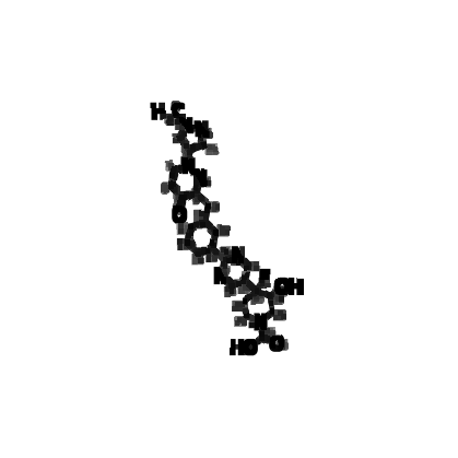 Cn1cc(-n2ccc(=O)c(Cc3cccc(-c4ncc(C5(F)CCN(C(=O)O)CC5O)cn4)c3)n2)cn1